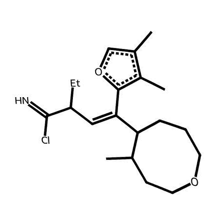 CCC(/C=C(\c1occ(C)c1C)C1CCCOCCC1C)C(=N)Cl